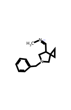 C/N=C\C1CN(Cc2ccccc2)CC12CC2